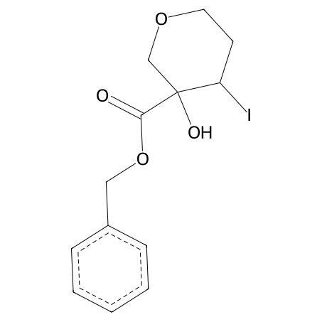 O=C(OCc1ccccc1)C1(O)COCCC1I